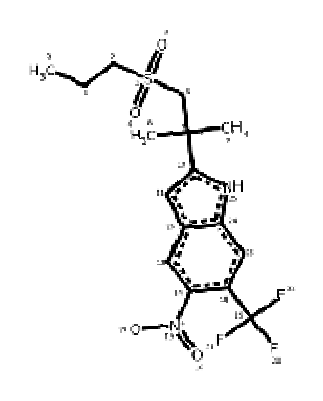 CCCS(=O)(=O)CC(C)(C)c1cc2cc([N+](=O)[O-])c(C(F)(F)F)cc2[nH]1